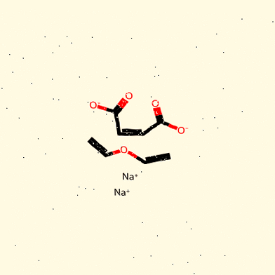 C=COC=C.O=C([O-])/C=C\C(=O)[O-].[Na+].[Na+]